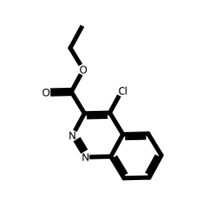 CCOC(=O)c1nnc2ccccc2c1Cl